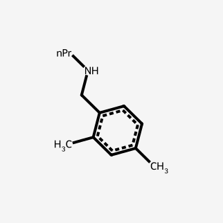 CCCNCc1ccc(C)cc1C